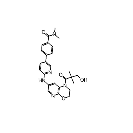 CN(C)C(=O)c1ccc(-c2ccc(Nc3cnc4c(c3)N(C(=O)C(C)(C)CO)CCO4)nc2)cc1